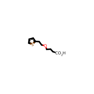 O=C(O)CCCOCCc1cccs1